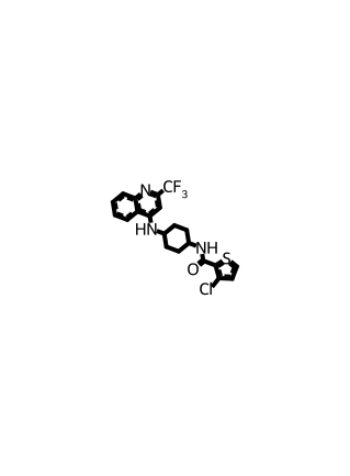 O=C(NC1CCC(Nc2cc(C(F)(F)F)nc3ccccc23)CC1)c1sccc1Cl